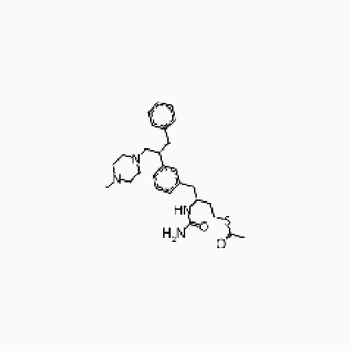 CC(=O)SCCC(Cc1cccc([C@H](Cc2ccccc2)CN2CCN(C)CC2)c1)NC(N)=O